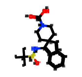 CC(C)(C)[S@@+]([O-])NC1=c2ccccc2=CC12CCN(C(=O)O)CC2